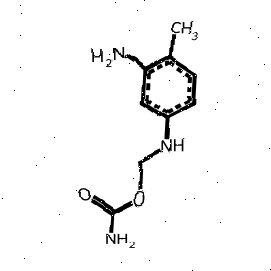 Cc1ccc(NCOC(N)=O)cc1N